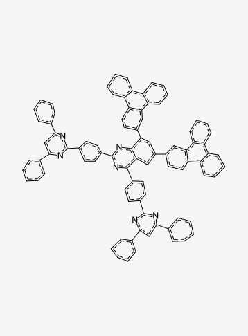 c1ccc(-c2cc(-c3ccccc3)nc(-c3ccc(-c4nc(-c5ccc(-c6nc(-c7ccccc7)cc(-c7ccccc7)n6)cc5)c5cc(-c6ccc7c8ccccc8c8ccccc8c7c6)cc(-c6ccc7c8ccccc8c8ccccc8c7c6)c5n4)cc3)n2)cc1